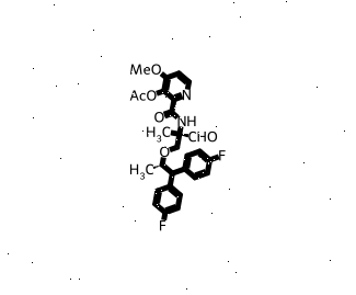 COc1ccnc(C(=O)N[C@](C)(C=O)CO[C@@H](C)C(c2ccc(F)cc2)c2ccc(F)cc2)c1OC(C)=O